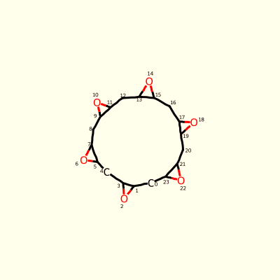 C1C2OC2CC2OC2CC2OC2CC2OC2CC2OC2CC2OC12